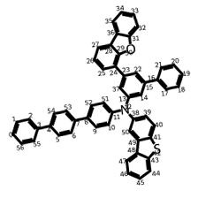 c1ccc(-c2ccc(-c3ccc(N(c4cc(-c5ccccc5)cc(-c5cccc6c5oc5ccccc56)c4)c4ccc5sc6ccccc6c5c4)cc3)cc2)cc1